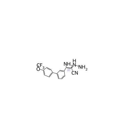 N#C/C(NN)=C(/N)c1cccc(-c2ccc(OC(F)(F)F)cc2)c1